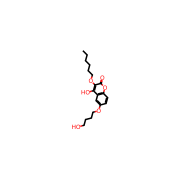 CCCCCCOc1c(O)c2cc(OCCCCO)ccc2oc1=O